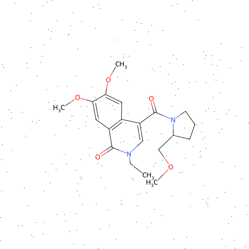 CCn1cc(C(=O)N2CCCC2COC)c2cc(OC)c(OC)cc2c1=O